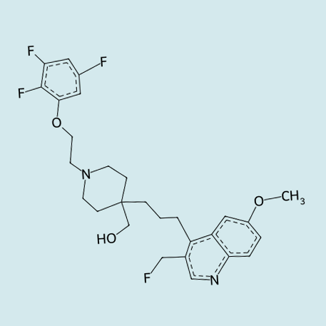 COc1ccc2ncc(CF)c(CCCC3(CO)CCN(CCOc4cc(F)cc(F)c4F)CC3)c2c1